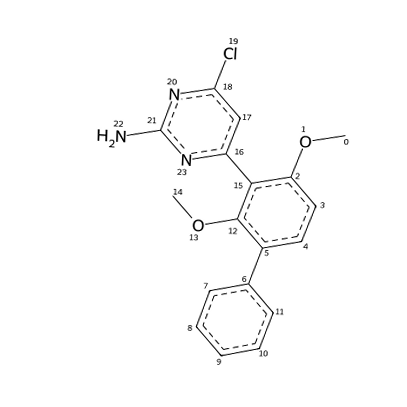 COc1ccc(-c2ccccc2)c(OC)c1-c1cc(Cl)nc(N)n1